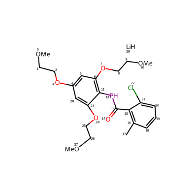 COCCOc1cc(OCCOC)c(PC(=O)c2c(C)cccc2Cl)c(OCCOC)c1.[LiH]